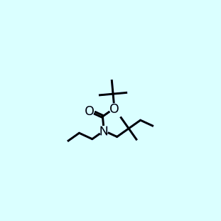 CCCN(CC(C)(C)CC)C(=O)OC(C)(C)C